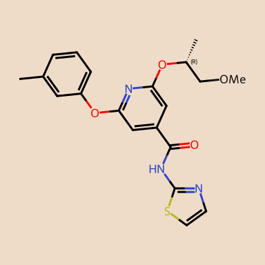 COC[C@@H](C)Oc1cc(C(=O)Nc2nccs2)cc(Oc2cccc(C)c2)n1